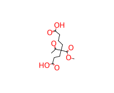 COC(=O)C(CCCC(=O)O)(CCC(=O)O)C(C)=O